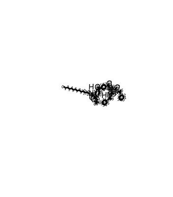 CCCCCCCCCCCCCCNC(=O)[C@@H]1CN(C(=O)c2ccc(C(=O)N3C[C@@H](C(=O)N[C@H]4C[C@@H]4c4ccccc4)[C@H](C(=O)N[C@H]4C[C@@H]4c4ccccc4)C3)cc2)CCN1C(=O)CC(C)(C)C